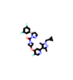 Cc1nn(CC2CC2)c(C)c1-c1cc(OC2CN(C(=O)N3N=CC[C@H]3c3cc(F)cc(F)c3)C2)c(F)cn1